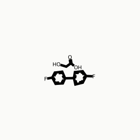 Fc1ccc(-c2ccc(F)cc2)cc1.O=C(O)CO